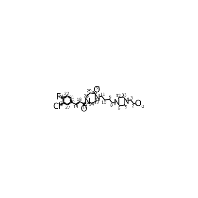 COCCN1CCN(CCCCN2CCN(C(=O)/C=C/c3ccc(F)c(Cl)c3)CCC2=O)CC1